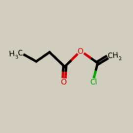 C=C(Cl)OC(=O)CCC